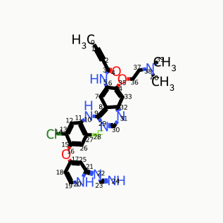 CC#CC(=O)Nc1cc2c(Nc3cc(Cl)c(Oc4cc[nH]/c(=N\C=N)c4)cc3F)ncnc2cc1OCCN(C)C